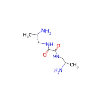 CC(N)CNC(=O)C(=O)NCC(C)N